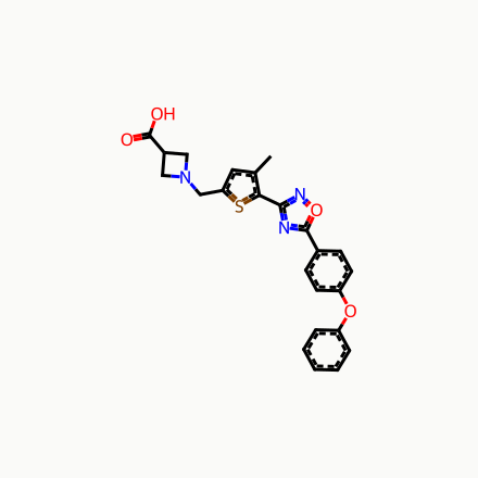 Cc1cc(CN2CC(C(=O)O)C2)sc1-c1noc(-c2ccc(Oc3ccccc3)cc2)n1